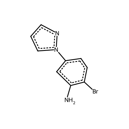 Nc1cc(-n2cccn2)ccc1Br